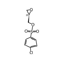 O=S(=O)(OC[C@H]1CO1)c1ccc(Cl)cc1